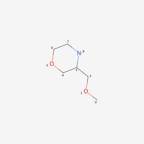 COCC1COCC[N]1